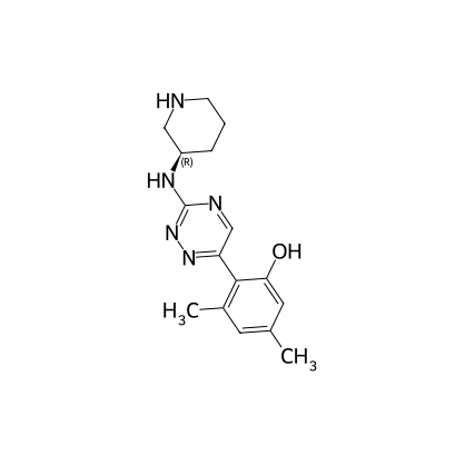 Cc1cc(C)c(-c2cnc(N[C@@H]3CCCNC3)nn2)c(O)c1